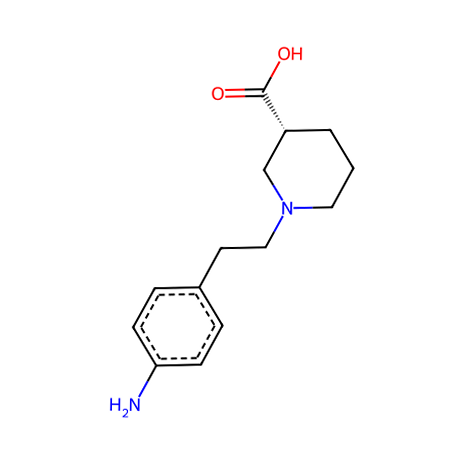 Nc1ccc(CCN2CCC[C@@H](C(=O)O)C2)cc1